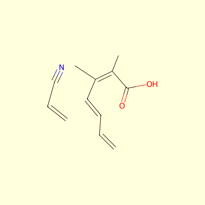 C=CC#N.C=CC=CC(C)=C(C)C(=O)O